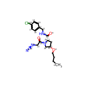 CCCCO[C@@H]1C[C@@H](C(=O)NCc2ccc(Cl)cc2)N(C(=O)CN=[N+]=[N-])C1